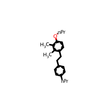 CCCOc1ccc(CCc2ccc(CCC)cc2)c(C)c1C